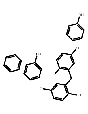 Oc1ccc(Cl)cc1Cc1cc(Cl)ccc1O.Oc1ccccc1.Oc1ccccc1.c1ccccc1